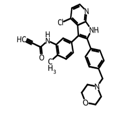 C#CC(=O)Nc1cc(-c2c(-c3ccc(CN4CCOCC4)cc3)[nH]c3nccc(Cl)c23)ccc1C